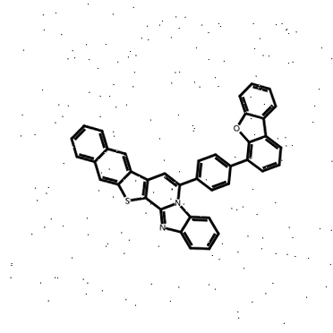 c1ccc2cc3c(cc2c1)sc1c3cc(-c2ccc(-c3cccc4c3oc3ccccc34)cc2)n2c3ccccc3nc12